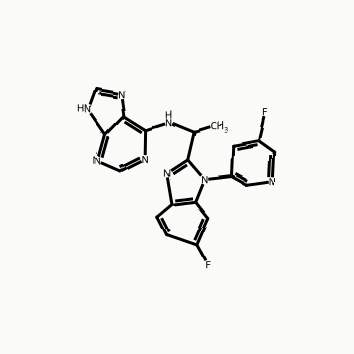 CC(Nc1ncnc2[nH]cnc12)c1nc2ccc(F)cc2n1-c1cncc(F)c1